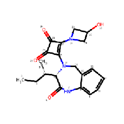 CC[C@H](C)[C@H]1C(=O)Nc2ccccc2CN1c1c(N2CC(O)C2)c(=O)c1=O